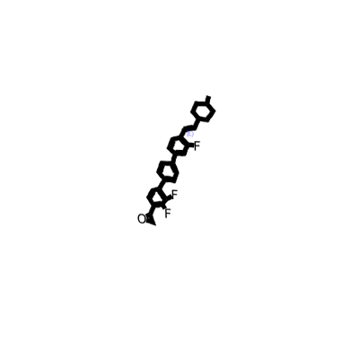 CC1CCC(/C=C/c2ccc(-c3ccc(-c4ccc(C5CO5)c(F)c4F)cc3)cc2F)CC1